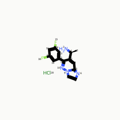 C[C@H](N)c1cc2nccn2nc1-c1cc(F)cc(F)c1.Cl